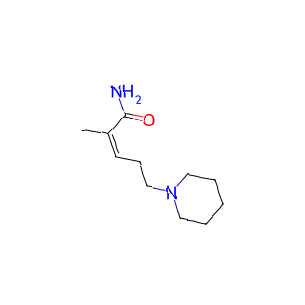 CC(=CCCN1CCCCC1)C(N)=O